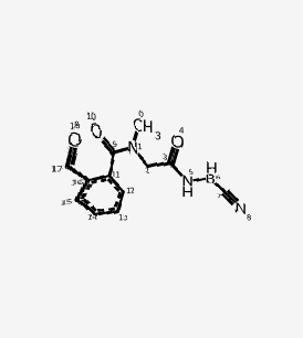 CN(CC(=O)NBC#N)C(=O)c1ccccc1C=O